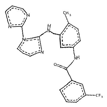 Cc1ccc(NC(=O)c2cccc(C(F)(F)F)c2)cc1Nc1nccn1-c1ncccn1